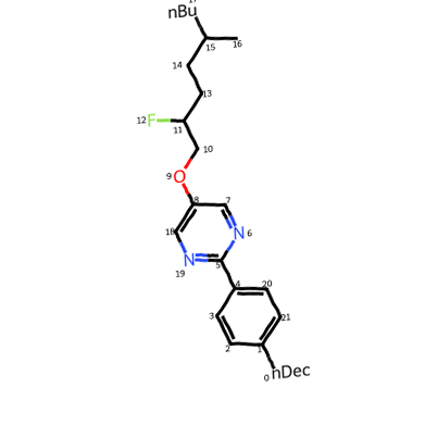 CCCCCCCCCCc1ccc(-c2ncc(OCC(F)CCC(C)CCCC)cn2)cc1